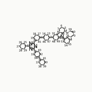 C1=CCC(c2cccc3c4cc(-c5ccc(-c6cccc(-c7nc(-c8ccccc8)nc(-c8ccc(-c9ccccc9)cc8)n7)c6)cc5)ccc4n(-c4ccccc4)c23)C=C1